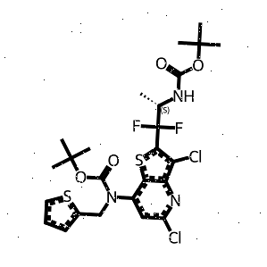 C[C@H](NC(=O)OC(C)(C)C)C(F)(F)c1sc2c(N(Cc3cccs3)C(=O)OC(C)(C)C)cc(Cl)nc2c1Cl